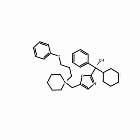 O[C@@](c1ccccc1)(c1ncc(C[N+]2(CCCOc3ccccc3)CCCCC2)o1)C1CCCCC1